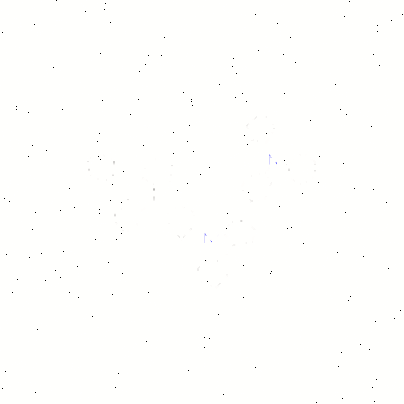 c1ccc(-c2c3ccccc3c(-c3ccc(-n4c5ccccc5c5ccc(-c6ccc7c(c6)c6ccccc6n7-c6ccccc6)cc54)cc3)c3ccc(C4CCCC4)cc23)cc1